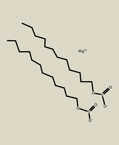 CCCCCCCCCCCCOS(=O)[O-].CCCCCCCCCCCCOS(=O)[O-].[Mg+2]